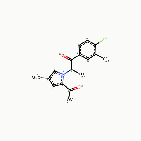 COC(=O)c1cc(OC)cn1C(C)C(=O)c1ccc(F)c(C(F)(F)F)c1